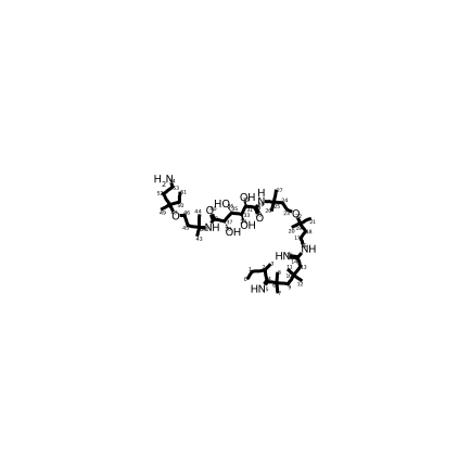 CCC(C)C(=N)C(C)(C)CC(C)(C)CC(=N)NCCC(C)(C)OCCC(C)(C)NC(=O)[C@H](O)[C@@H](O)[C@@H](O)[C@H](O)C(=O)NC(C)(C)CCOC(C)(CC)CCN